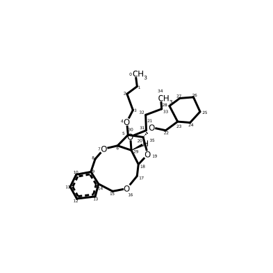 CCCCOC1C2OCc3ccccc3COCC(O[C@H]1OCC1CCCCC1)[C@H]2OCCCC